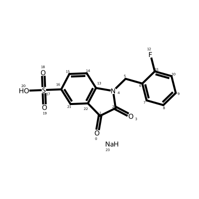 O=C1C(=O)N(Cc2ccccc2F)c2ccc(S(=O)(=O)O)cc21.[NaH]